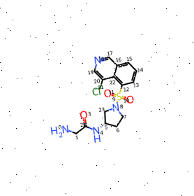 NCC(=O)N[C@H]1CCN(S(=O)(=O)c2cccc3cncc(Cl)c23)C1